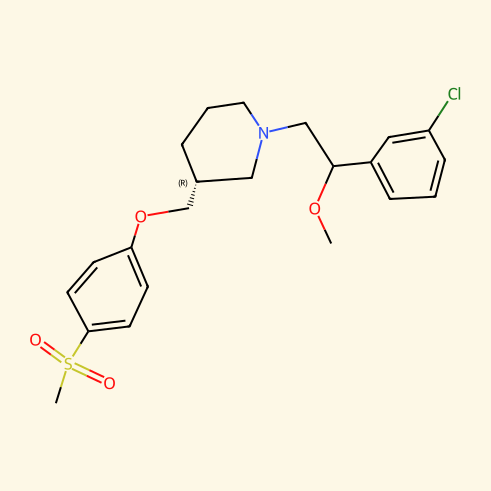 COC(CN1CCC[C@@H](COc2ccc(S(C)(=O)=O)cc2)C1)c1cccc(Cl)c1